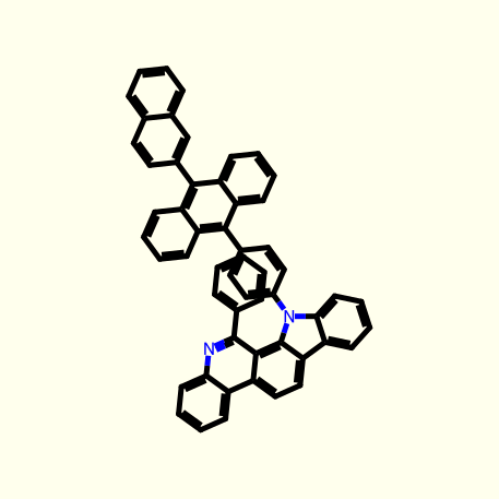 c1ccc(-c2nc3ccccc3c3ccc4c5ccccc5n(-c5ccc(-c6c7ccccc7c(-c7ccc8ccccc8c7)c7ccccc67)cc5)c4c23)cc1